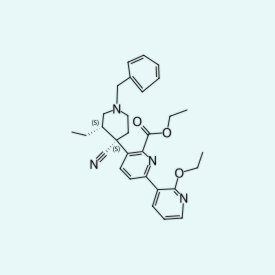 CCOC(=O)c1nc(-c2cccnc2OCC)ccc1[C@]1(C#N)CCN(Cc2ccccc2)C[C@H]1CC